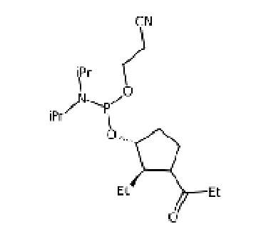 CCC(=O)C1CC[C@@H](OP(OCCC#N)N(C(C)C)C(C)C)[C@@H]1CC